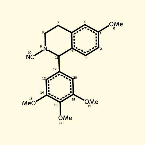 COc1ccc2c(c1)CCN(C#N)C2c1cc(OC)c(OC)c(OC)c1